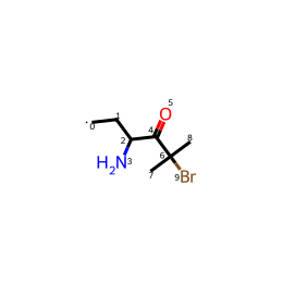 [CH2]CC(N)C(=O)C(C)(C)Br